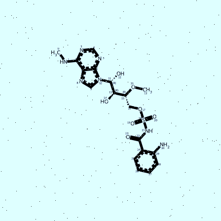 CNc1ncnc2c1ncn2[C@H](O)[C@H](O)[C@@H](COS(=O)(=O)NC(=O)c1ccccc1N)OC